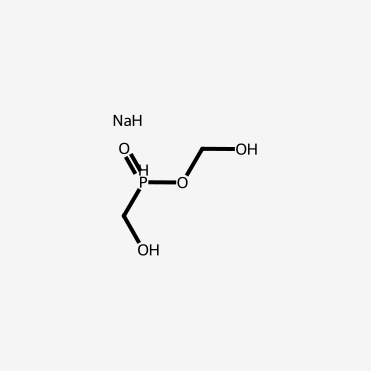 O=[PH](CO)OCO.[NaH]